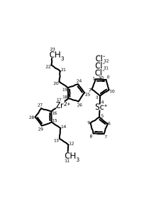 C1=CC[C]([Sc+][C]2=CC=CC2)=C1.CCCCC1=[C]([Zr+2][C]2=C(CCCC)C=CC2)CC=C1.[Cl-].[Cl-].[Cl-]